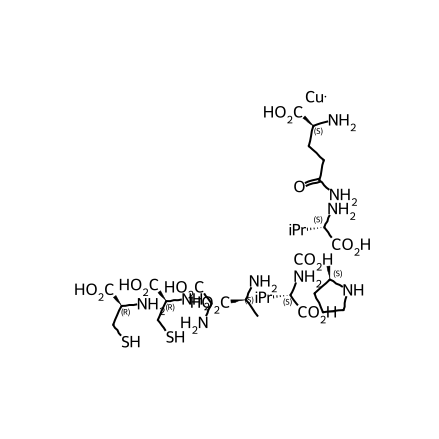 CC(C)[C@H](N)C(=O)O.CC(C)[C@H](N)C(=O)O.C[C@H](N)C(=O)O.NC(=O)CC[C@H](N)C(=O)O.NCC(=O)O.N[C@@H](CS)C(=O)O.N[C@@H](CS)C(=O)O.O=C(O)[C@@H]1CCCN1.[Cu]